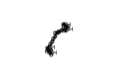 Cc1cnc(Nc2ccc(N3CCN(C(=O)CCOCCOCCOCCOCCNc4cccc5c4C(=O)N(C4CCC(=O)NC4=O)C5=O)CC3)cc2)nc1Nc1cccc([S+]([O-])NC(C)(C)C)c1